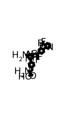 Nc1nc(OC(c2ccc(-c3cnccc3C(F)(F)F)cc2)C(F)(F)F)cc(-c2ccc(CC(N)C(=O)O)cc2)n1